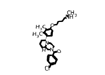 CNCCCCOc1ccc([C@H]2CCC[C@H]3CN(C(=O)c4ccc(Cl)cc4)CCN32)c(C)c1C